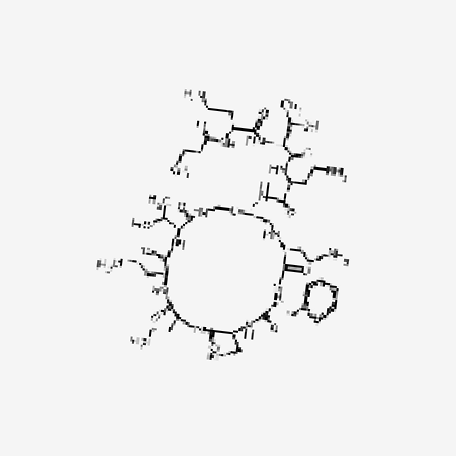 CC(C)C[C@@H]1NC(=O)[C@@H](Cc2ccccc2)NC(=O)[C@H](CCN)NC[C@@H](NC(=O)[C@H](CCN)NC(=O)[C@@H](NC(=O)[C@H](CCN)NC(=O)CCO)C(C)O)CCNC(=O)[C@H](C(C)O)NC(=O)[C@H](CCN)NC(=O)[C@H](CCN)NC1=O